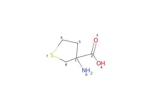 NC1(C(=O)O)CCSC1